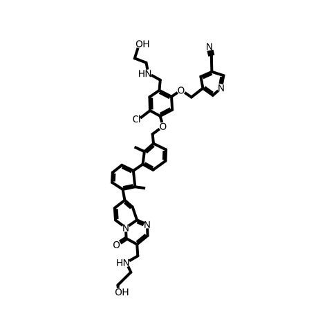 Cc1c(COc2cc(OCc3cncc(C#N)c3)c(CNCCO)cc2Cl)cccc1-c1cccc(-c2ccn3c(=O)c(CNCCO)cnc3c2)c1C